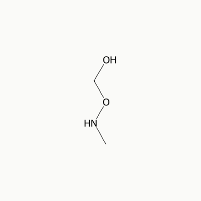 CNOCO